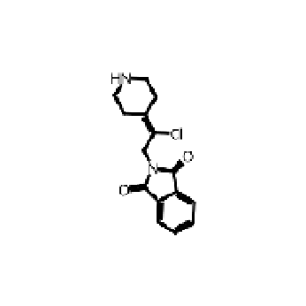 O=C1c2ccccc2C(=O)N1CC(Cl)=C1CCNCC1